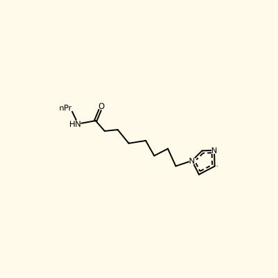 CCCNC(=O)CCCCCCCn1c[c]nc1